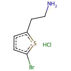 Cl.NCCc1ccc(Br)s1